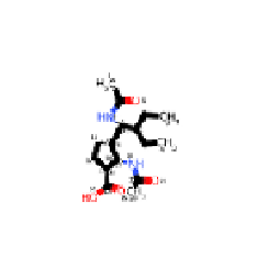 CCC(CC)[C@@H](NC(C)=O)[C@H]1CC[C@H](C(=O)O)[C@H]1NC(C)=O